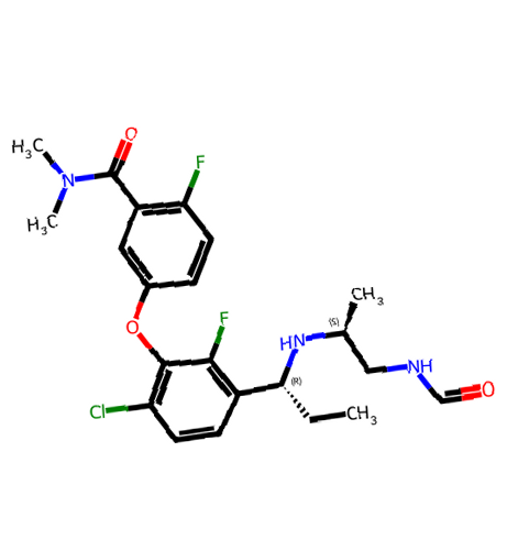 CC[C@@H](N[C@@H](C)CNC=O)c1ccc(Cl)c(Oc2ccc(F)c(C(=O)N(C)C)c2)c1F